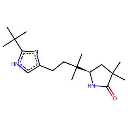 CC1(C)C[C@H](C(C)(C)CCc2c[nH]c(C(C)(C)C)n2)NC1=O